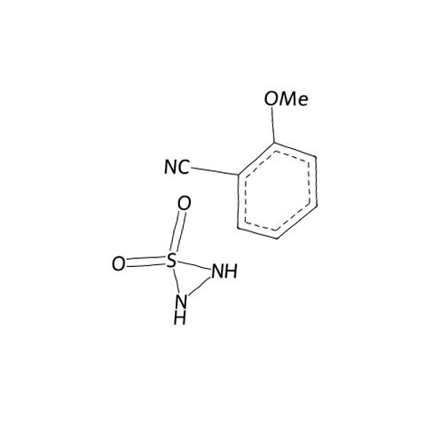 COc1ccccc1C#N.O=S1(=O)NN1